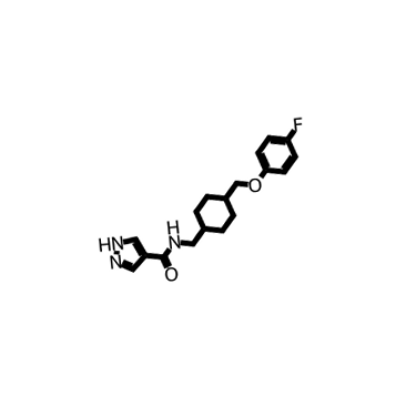 O=C(NCC1CCC(COc2ccc(F)cc2)CC1)c1cn[nH]c1